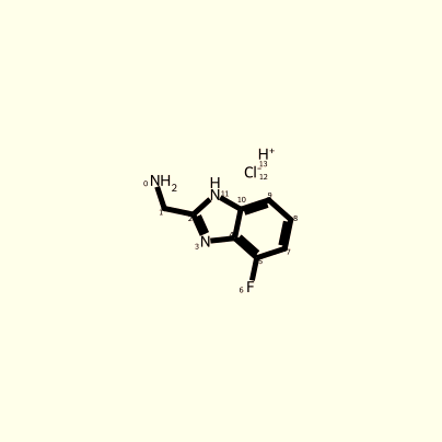 NCc1nc2c(F)cccc2[nH]1.[Cl-].[H+]